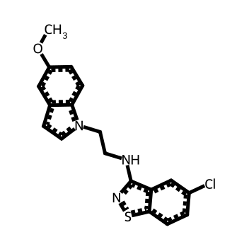 COc1ccc2c(ccn2CCNc2nsc3ccc(Cl)cc23)c1